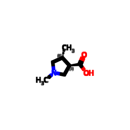 C[C@H]1CN(C)C[C@@H]1C(=O)O